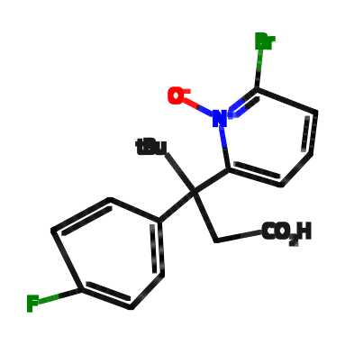 CC(C)(C)C(CC(=O)O)(c1ccc(F)cc1)c1cccc(Br)[n+]1[O-]